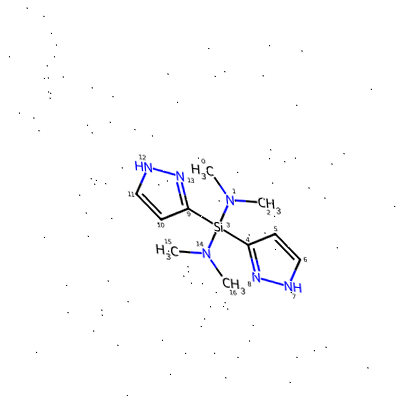 CN(C)[Si](c1cc[nH]n1)(c1cc[nH]n1)N(C)C